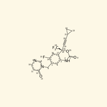 O=C1Nc2cc(Cn3cnccc3=O)c(F)cc2[C@@](C#CC2CC2)(C(F)(F)F)O1